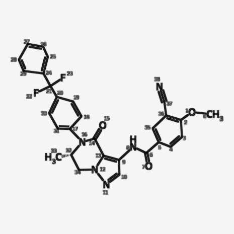 COc1ccc(C(=O)Nc2cnn3c2C(=O)N(c2ccc(C(F)(F)c4ccccc4)cc2)[C@@H](C)C3)cc1C#N